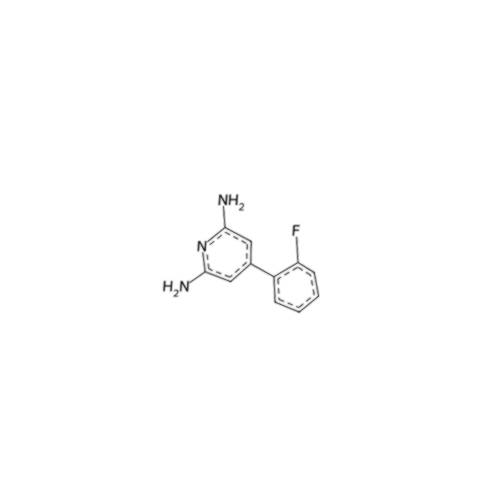 Nc1cc(-c2ccccc2F)cc(N)n1